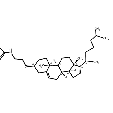 CC(=O)NCCO[C@H]1CC[C@@]2(C)C(=CC[C@H]3[C@@H]4CC[C@H]([C@H](C)CCCC(C)C)[C@@]4(C)CC[C@@H]32)C1